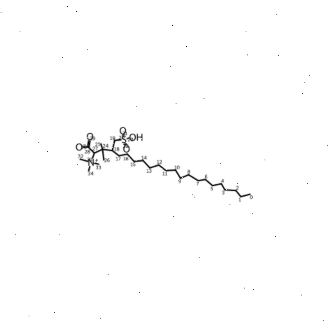 CCCCCCCCCCCCCCCCCCC(CS(=O)(=O)O)C(C)(C)C(C(=O)[O-])[N+](C)(C)C